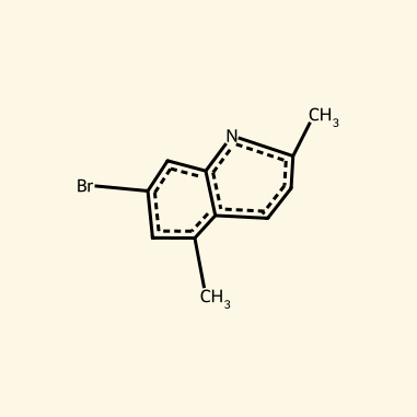 Cc1ccc2c(C)cc(Br)cc2n1